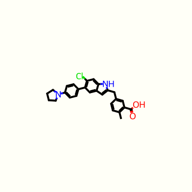 Cc1ccc(Cc2cc3cc(-c4ccc(N5CCCC5)cc4)c(Cl)cc3[nH]2)cc1C(=O)O